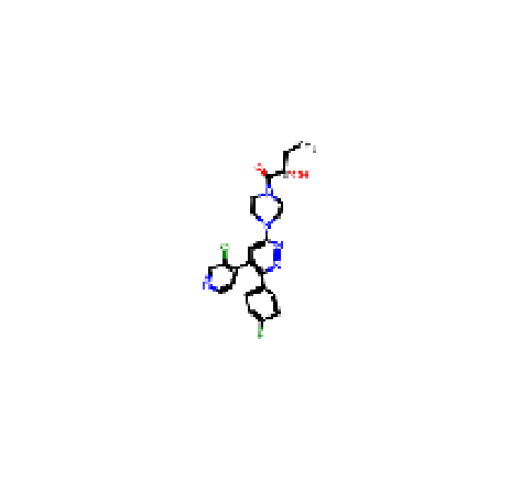 CC[C@H](O)C(=O)N1CCN(c2cc(-c3ccncc3Cl)c(-c3ccc(F)cc3)nn2)CC1